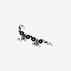 C=CCOc1ccc(S(=O)(=O)N(C(N)=O)c2ccc(Cc3ccc(N(C(N)=O)S(=O)(=O)c4ccc(OCC=C)cc4)cc3)cc2)cc1